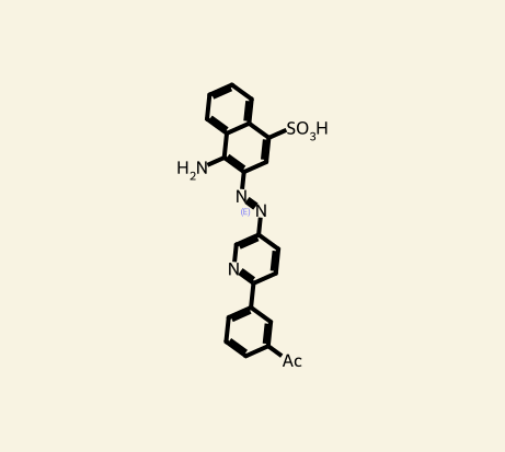 CC(=O)c1cccc(-c2ccc(/N=N/c3cc(S(=O)(=O)O)c4ccccc4c3N)cn2)c1